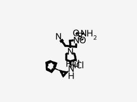 Cl.Cl.N#CCC1(N2CCC(N[C@@H]3C[C@H]3c3ccccc3)CC2)CN(S(N)(=O)=O)C1